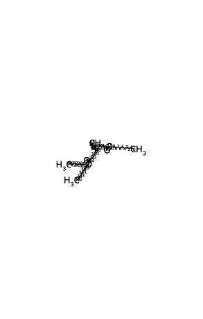 CCCCCCCCCCCOC(=O)CCCC1CC(CCCCCC(=O)OC(CCCCCCCC)CCCCCCCC)CN(CC)C1